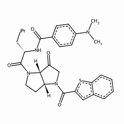 CC(C)C[C@H](NC(=O)c1ccc(N(C)C)cc1)C(=O)N1CC[C@@H]2[C@H]1C(=O)CN2C(=O)c1cc2ccccc2s1